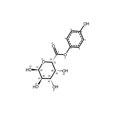 O=C(Oc1ccc(O)cc1)[C@H]1O[C@H](O)[C@H](O)[C@@H](O)[C@H]1O